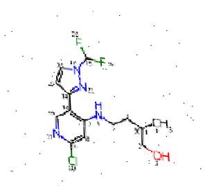 C[C@@H](CO)CCNc1cc(Cl)ncc1-c1ccn(C(F)F)n1